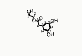 C=CCOC(=O)Cc1cc(O)cc(O)c1